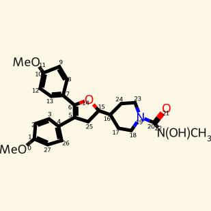 COc1ccc(C2=C(c3ccc(OC)cc3)OC(C3CCN(C(=O)N(C)O)CC3)C2)cc1